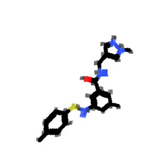 Cc1ccc(SNc2cc(C)cc(C(=O)NCc3cnn(C)c3)c2)cc1